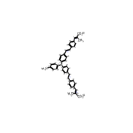 C/C(=C\c1ccc(/C=C/c2ccc(N(c3ccc(C)cc3)c3ccc(/C=C/c4ccc(/C=C(\C)C(=O)O)cc4)cc3)cc2)cc1)C(=O)O